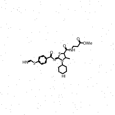 COC(=O)CCNC(=O)C1SC(=NC(=O)c2ccc(SC=N)cc2)N(C2CCCCC2)C1C.I